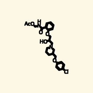 CC(=O)OCNC(=O)c1ccccc1OCC(O)CN1CCCC(COc2ccc(Cl)cc2)C1